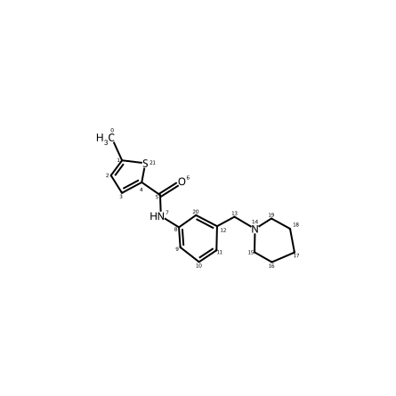 Cc1ccc(C(=O)Nc2cccc(CN3CCCCC3)c2)s1